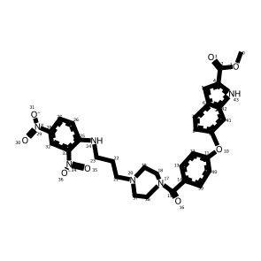 COC(=O)c1cc2ccc(Oc3ccc(C(=O)N4CCN(CCCNc5ccc([N+](=O)[O-])cc5[N+](=O)[O-])CC4)cc3)cc2[nH]1